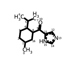 CC1CCC(C(C)C)[C](C(=O)c2cnc[nH]2)C1